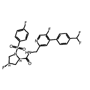 O=C(NCc1cc(-c2ccc(C(F)F)cc2)c(F)cn1)[C@H]1C[C@@H](F)CN1S(=O)(=O)c1ccc(F)cc1